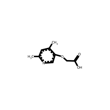 Cc1cc(C)c(OCC(=O)O)cn1